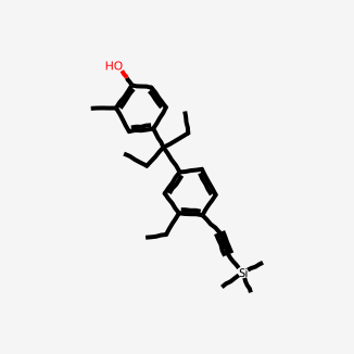 CCc1cc(C(CC)(CC)c2ccc(O)c(C)c2)ccc1C#C[Si](C)(C)C